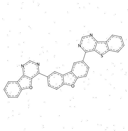 c1ccc2c(c1)oc1c(-c3ccc4oc5ccc(-c6ncnc7c6sc6ccccc67)cc5c4c3)ncnc12